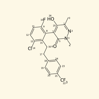 Cc1nn(C)c(=O)c(-c2c(F)ccc(Cl)c2CCc2ccc(C(F)(F)F)cc2)c1O